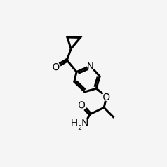 CC(Oc1ccc(C(=O)C2CC2)nc1)C(N)=O